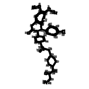 CCC(C)Oc1cc2c(cc1OC)CC(=O)N(c1ccc(N(C)CC3CCC(NC(=O)CC(C)C)CC3)cc1)C2c1ccc(Cl)cc1